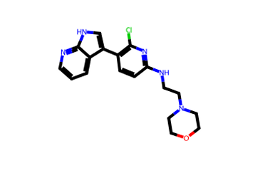 Clc1nc(NCCN2CCOCC2)ccc1-c1c[nH]c2ncccc12